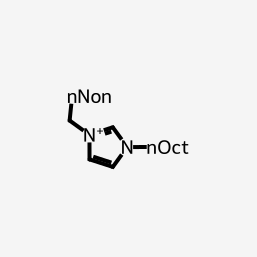 CCCCCCCCCC[n+]1ccn(CCCCCCCC)c1